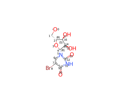 [O]C[C@H]1O[C@@H](n2cc(Br)c(=O)[nH]c2=O)[C@H](O)[C@@H]1O